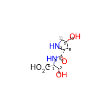 O=C(O)[C@@H](CO)NC(=O)[C@H]1C[C@H](O)CN1